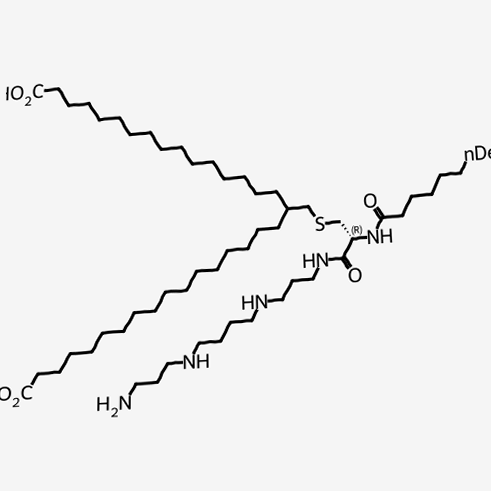 CCCCCCCCCCCCCCCC(=O)N[C@@H](CSCC(CCCCCCCCCCCCCCCCC(=O)O)CCCCCCCCCCCCCCCC(=O)O)C(=O)NCCCNCCCCNCCCN